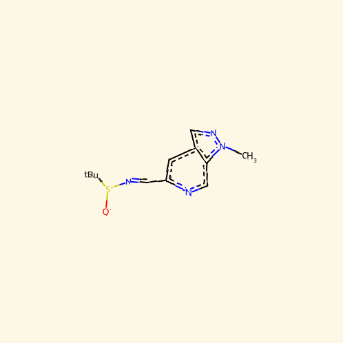 Cn1ncc2cc(C=N[S+]([O-])C(C)(C)C)ncc21